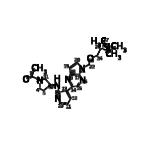 CC(=O)N1CC[C@H](Nc2ncccc2-c2cnc3c(ccn3COCC[Si](C)(C)C)n2)C1